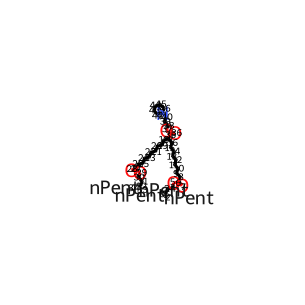 CCCCCC(CCCCC)CCOC(=O)CCCCCCCCCC(CCCCCCCCCC(=O)OCCC(CCCCC)CCCCC)C(=O)OCCCN1CCCCC1